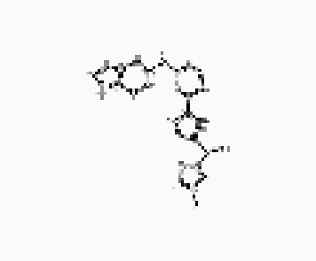 Cn1cc(C(O)c2cnc(-c3cccc(Oc4ccc5[nH]ccc5c4)c3)[nH]2)cn1